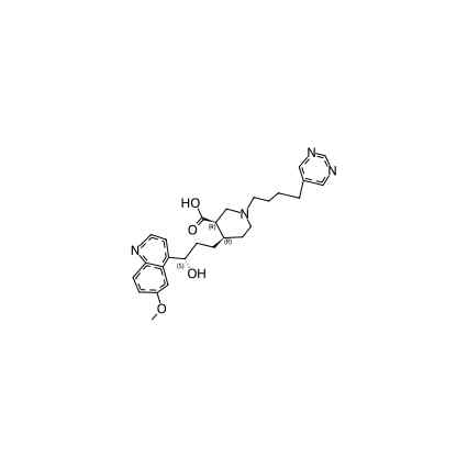 COc1ccc2nccc([C@@H](O)CC[C@@H]3CCN(CCCCc4cncnc4)C[C@@H]3C(=O)O)c2c1